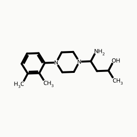 Cc1cccc(N2CCN(C(N)CC(C)O)CC2)c1C